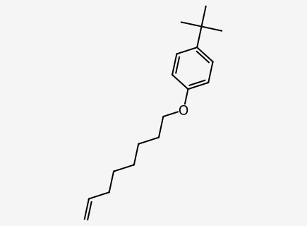 C=CCCCCCCOc1ccc(C(C)(C)C)cc1